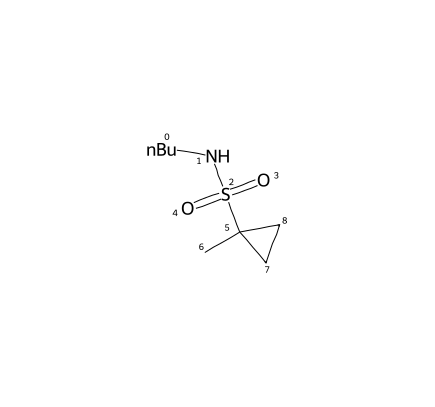 CCCCNS(=O)(=O)C1(C)CC1